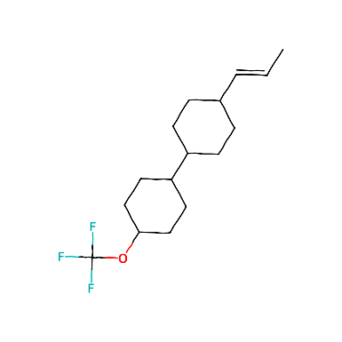 C/C=C/C1CCC(C2CCC(OC(F)(F)F)CC2)CC1